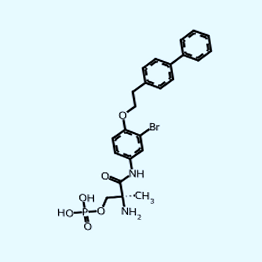 C[C@](N)(COP(=O)(O)O)C(=O)Nc1ccc(OCCc2ccc(-c3ccccc3)cc2)c(Br)c1